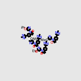 CCOc1cncc(N2C(=O)C(C)(C)c3ccc(-c4cnc(C)nc4)cc32)c1.COc1cc(N2C(=O)C(C)(C)c3ccc(-c4cnc(C)nc4)cc32)cnc1C.COc1cncc(N2C(=O)C(C)(C)c3ccc(-c4cnc(C)nc4)cc32)c1.Cc1ncc(-c2ccc3c(c2)N(c2cncc(OC(C)C)c2)C(=O)C3(C)C)cn1